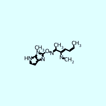 C=NC(=C\C=C/C)/C(C)=N/Oc1nc2cc[nH]c2n1C